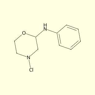 ClN1CCOC(Nc2ccccc2)C1